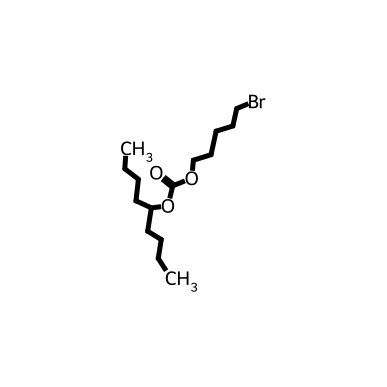 CCCCC(CCCC)OC(=O)OCCCCCBr